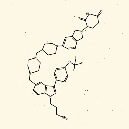 NCCCn1cc(-c2ccc(OC(F)(F)F)cc2)c2cc(CN3CCN(CC4CCN(c5ccc6c(c5)CN(C5CCC(=O)NC5=O)C6)CC4)CC3)ccc21